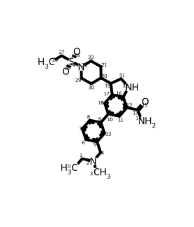 CCN(C)Cc1cccc(-c2cc(C(N)=O)c3c(c2)C(C2CCN(S(=O)(=O)CC)CC2)CN3)c1